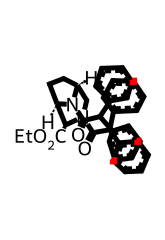 CCOC(=O)[C@H]1[C@H]2CC[C@@H](CN1C(=O)C(c1ccccc1)c1ccccc1)N2C(=O)C(c1ccccc1)c1ccccc1